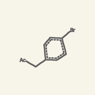 [CH2]C(=O)Cc1ccc(Br)cc1